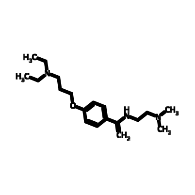 C=C(NCCN(C)C)c1ccc(OCCCN(CC)CC)cc1